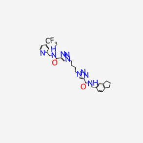 O=C(NCc1ccc2c(c1)CCC2)c1cn(CCCCn2cc(C(=O)NCc3cc(C(F)(F)F)ccn3)nn2)nn1